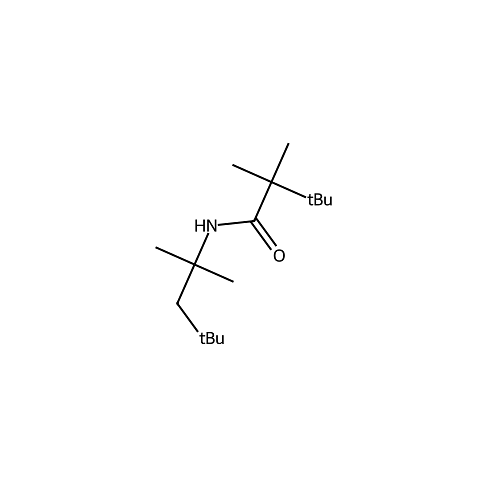 CC(C)(C)CC(C)(C)NC(=O)C(C)(C)C(C)(C)C